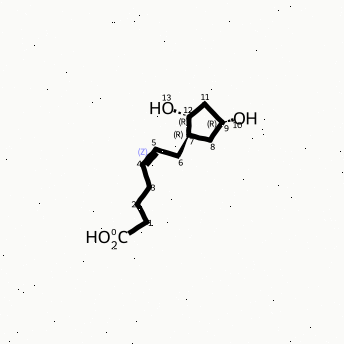 O=C(O)CCC/C=C\C[C@@H]1C[C@@H](O)C[C@H]1O